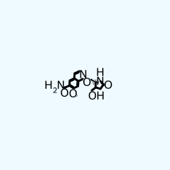 COc1cc2c(OC[C@H]3NC(=O)CC3CO)nccc2cc1C(N)=O